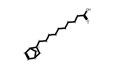 O=C(O)CCCCCCCCCC1CC2C=CC1C2